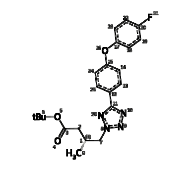 C[C@H](CC(=O)OC(C)(C)C)Cn1nnc(-c2ccc(Oc3ccc(F)cc3)cc2)n1